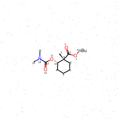 CCCCOC(=O)[C@]1(C)CCCC[C@@H]1OC(=O)N(C)C